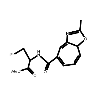 COC(=O)C(CC(C)C)NC(=O)C1=CC=CC2OC(C)=NC2=C1